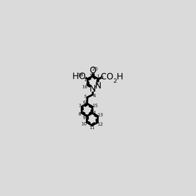 O=C(O)c1nn(CCc2ccc3ccccc3c2)cc(O)c1=O